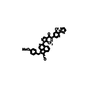 COc1ccc(Cn2c(=C=O)c3cccc4c(-n5ncc(C(=O)Nc6cnc(-n7nccn7)c(C(F)(F)F)c6)c5C(F)(F)F)ncc2c43)cc1